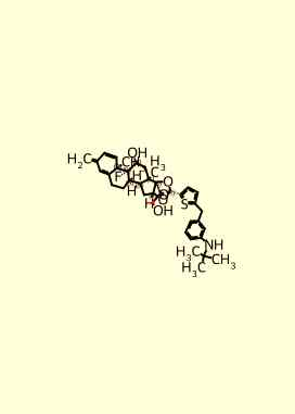 C=C1C=C[C@@]2(C)C(=C1)CC[C@H]1[C@@H]3C[C@H]4O[C@@H](c5ccc(Cc6cccc(NC(C)(C)C)c6)s5)O[C@@]4(C(=O)CO)[C@@]3(C)C[C@H](O)[C@@]12F